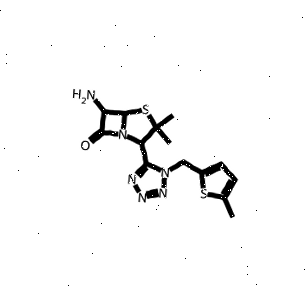 Cc1ccc(Cn2nnnc2C2N3C(=O)C(N)C3SC2(C)C)s1